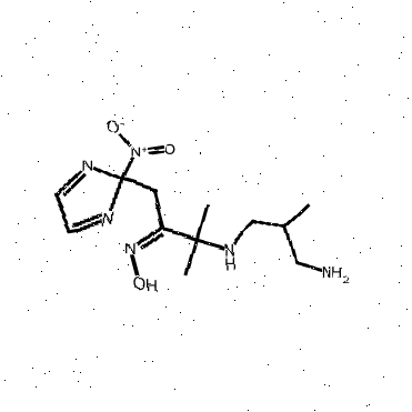 CC(CN)CNC(C)(C)C(CC1([N+](=O)[O-])N=CC=N1)=NO